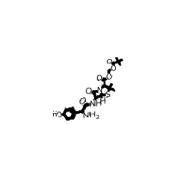 CC(C)(C)C(=O)OCOC(=O)[C@@H]1N2C(=O)C(NC(=O)C(N)c3ccc(O)cc3)[C@H]2SC1(C)C